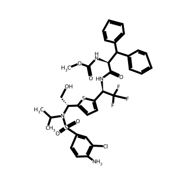 COC(=O)N[C@H](C(=O)N[C@H](c1ccc([C@@H](CO)N(C(C)C)S(=O)(=O)c2ccc(N)c(Cl)c2)s1)C(F)(F)F)C(c1ccccc1)c1ccccc1